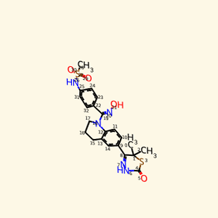 CC1(C)SC(=O)NN=C1c1ccc2c(c1)CCCN2C(=NO)c1ccc(NS(C)(=O)=O)cc1